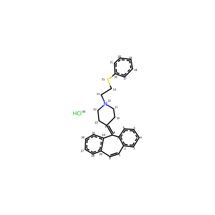 C1=Cc2ccccc2C(=C2CCN(CCSc3ccccc3)CC2)c2ccccc21.Cl